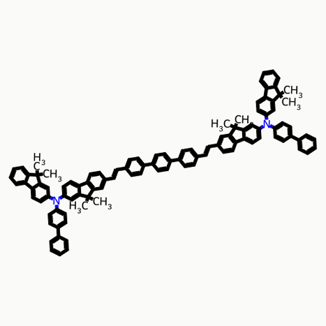 CC1(C)c2ccccc2-c2ccc(N(c3ccc(-c4ccccc4)cc3)c3ccc4c(c3)C(C)(C)c3cc(/C=C/c5ccc(-c6ccc(-c7ccc(/C=C/c8ccc9c(c8)C(C)(C)c8cc(N(c%10ccc(-c%11ccccc%11)cc%10)c%10ccc%11c(c%10)C(C)(C)c%10ccccc%10-%11)ccc8-9)cc7)cc6)cc5)ccc3-4)cc21